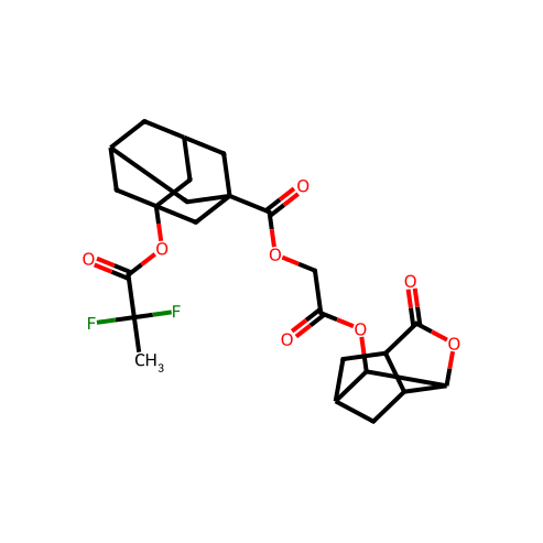 CC(F)(F)C(=O)OC12CC3CC(C1)CC(C(=O)OCC(=O)OC1C4CC5C(=O)OC1C5C4)(C3)C2